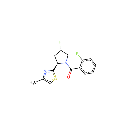 Cc1csc([C@H]2C[C@H](F)CN2C(=O)c2ccccc2F)n1